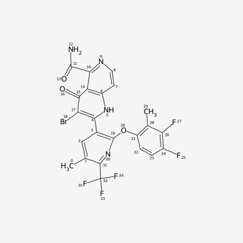 Cc1cc(-c2[nH]c3ccnc(C(N)=O)c3c(=O)c2Br)c(Oc2ccc(F)c(F)c2C)nc1C(F)(F)F